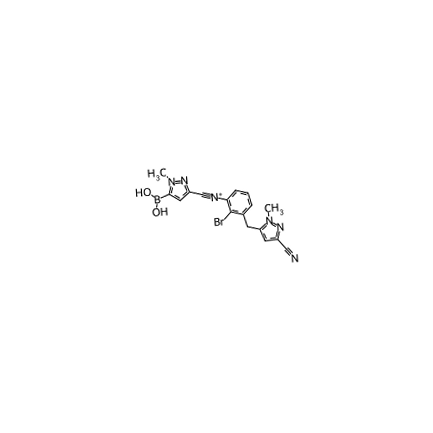 Cn1nc(C#N)cc1Cc1cccc([N+]#Cc2cc(B(O)O)n(C)n2)c1Br